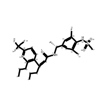 CCCC(=CC(=O)N[C@H](C)c1cc(F)c(NS(C)(=O)=O)c(F)c1)c1ccc(C(F)(F)F)nc1CCC